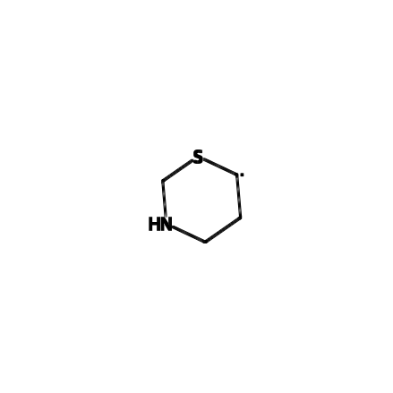 [CH]1CCNCS1